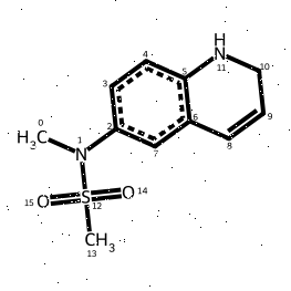 CN(c1ccc2c(c1)C=CCN2)S(C)(=O)=O